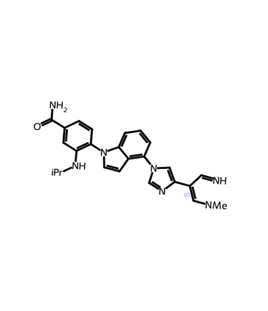 CN/C=C(\C=N)c1cn(-c2cccc3c2ccn3-c2ccc(C(N)=O)cc2NC(C)C)cn1